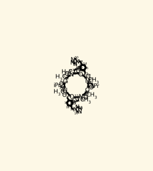 CC(C)C[C@H]1C(=O)O[C@H](Cc2ccc(Cn3cnnn3)cc2)C(=O)N(C)[C@@H](CC(C)C)C(=O)O[C@H](C)C(=O)N(C)[C@@H](CC(C)C)C(=O)O[C@H](Cc2ccc(Cn3cnnn3)cc2)C(=O)N(C)[C@@H](CC(C)C)C(=O)O[C@H](C)C(=O)N1C